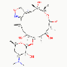 CC[C@H]1OC(=O)[C@H](C)[C@@H](O)[C@H](C)[C@@H](O[C@@H]2O[C@H](C)C[C@H](N(C)C)[C@H]2O)[C@@](C)(O)C[C@@H](C)C2=NOC/C2=C\[C@]1(C)O